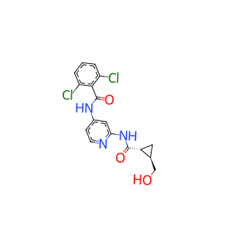 O=C(Nc1ccnc(NC(=O)[C@@H]2C[C@H]2CO)c1)c1c(Cl)cccc1Cl